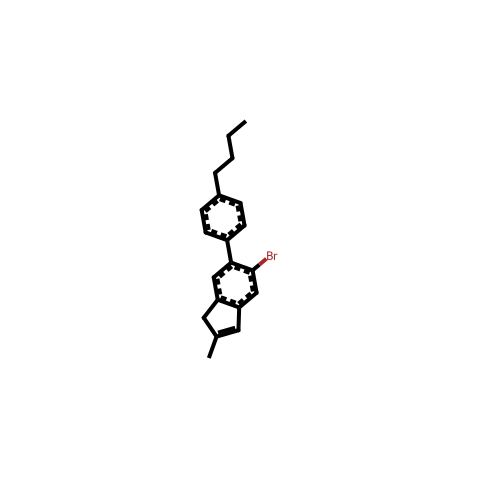 CCCCc1ccc(-c2cc3c(cc2Br)C=C(C)C3)cc1